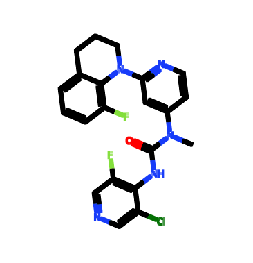 CN(C(=O)Nc1c(F)cncc1Cl)c1ccnc(N2CCCc3cccc(F)c32)c1